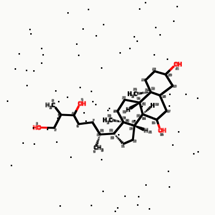 CC(CO)C(O)CC[C@@H](C)[C@H]1CC[C@H]2[C@@H]3C(O)CC4CC(O)CC[C@]4(C)[C@H]3CC[C@]12C